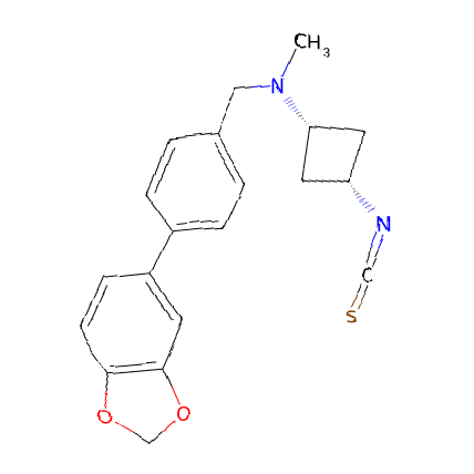 CN(Cc1ccc(-c2ccc3c(c2)OCO3)cc1)[C@H]1C[C@@H](N=C=S)C1